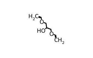 C=COCC(O)COC=C